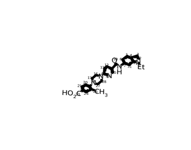 CCn1ccc2ccc(NC(=O)c3ccc(N4CCN(c5ccc(C(=O)O)cc5C)CC4)nc3)cc21